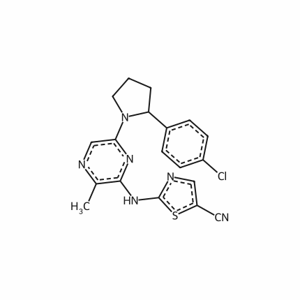 Cc1ncc(N2CCCC2c2ccc(Cl)cc2)nc1Nc1ncc(C#N)s1